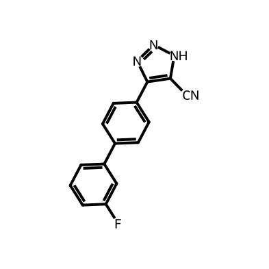 N#Cc1[nH]nnc1-c1ccc(-c2cccc(F)c2)cc1